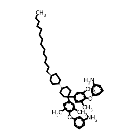 CCCCCCCCCCCCCC[C@H]1CC[C@H](C2CCC(c3cc(C)c(Oc4cccc(N)c4)c(C)c3)(c3cc(C)c(Oc4cccc(N)c4)c(C)c3)CC2)CC1